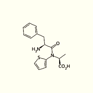 C[C@@H](C(=O)O)N(C(=O)[C@@H](N)Cc1ccccc1)c1cccs1